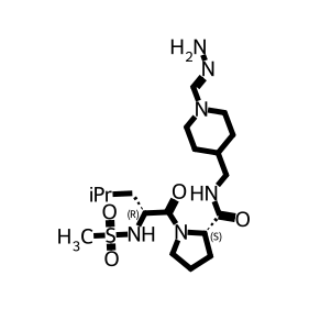 CC(C)C[C@@H](NS(C)(=O)=O)C(=O)N1CCC[C@H]1C(=O)NCC1CCN(C=NN)CC1